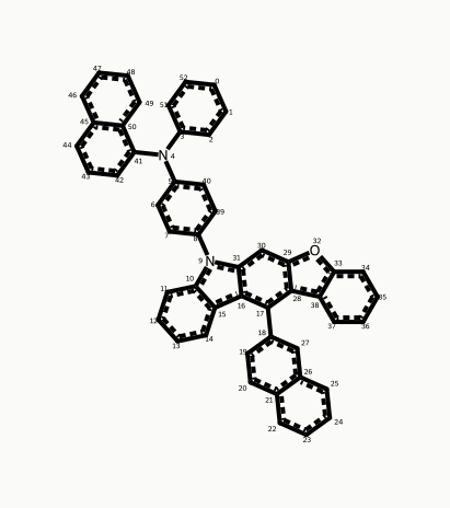 c1ccc(N(c2ccc(-n3c4ccccc4c4c(-c5ccc6ccccc6c5)c5c(cc43)oc3ccccc35)cc2)c2cccc3ccccc23)cc1